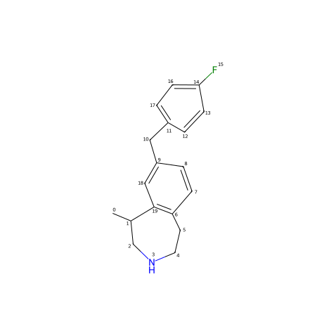 CC1CNCCc2ccc(Cc3ccc(F)cc3)cc21